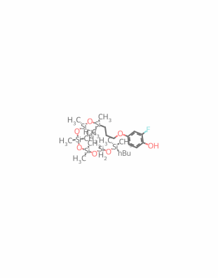 CCCC[Si](C)(C)O[SiH2]O[Si](C)(C)O[Si](C)(C)O[Si](C)(C)O[Si](C)(C)CCCOc1ccc(O)c(F)c1